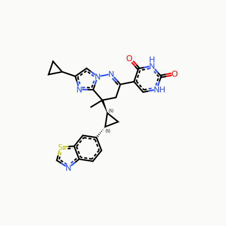 CC1([C@H]2C[C@@H]2c2ccc3ncsc3c2)CC(c2c[nH]c(=O)[nH]c2=O)=Nn2cc(C3CC3)nc21